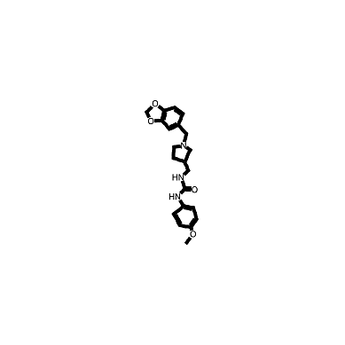 COc1ccc(NC(=O)NCC2CCN(Cc3ccc4c(c3)OCO4)C2)cc1